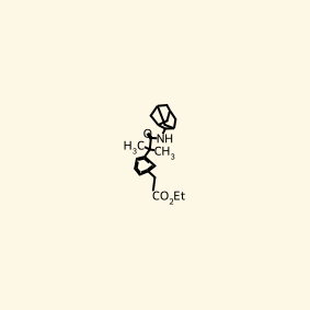 CCOC(=O)CCc1cccc(C(C)(C)C(=O)NC2C3CC4CC(C3)CC2C4)c1